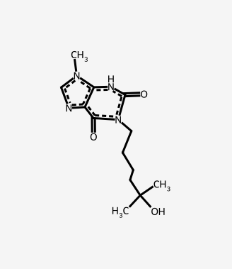 Cn1cnc2c(=O)n(CCCCC(C)(C)O)c(=O)[nH]c21